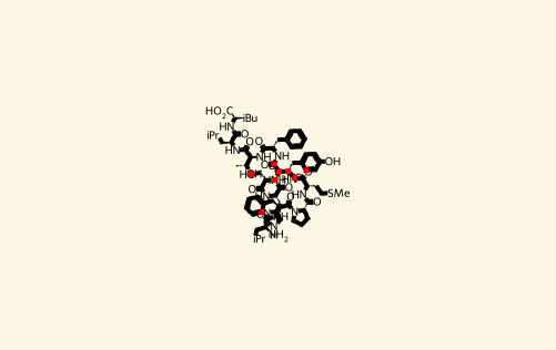 CC[C@H](C)[C@H](NC(=O)[C@H](CC(C)C)NC(=O)[C@@H](NC(=O)[C@H](Cc1ccccc1)NC(=O)[C@H](CC(C)C)NC(=O)[C@H](Cc1c[nH]cn1)NC(=O)[C@H](CO)NC(=O)[C@H](Cc1ccc(O)cc1)NC(=O)[C@H](CCSC)NC(=O)[C@@H]1CCCN1C(=O)[C@H](Cc1ccccc1)NC(=O)[C@@H](N)CC(C)C)[C@@H](C)O)C(=O)O